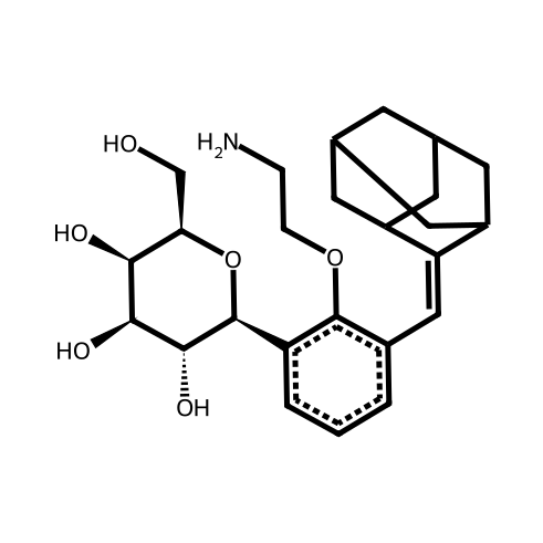 NCCOc1c(C=C2C3CC4CC(C3)CC2C4)cccc1[C@@H]1O[C@H](CO)[C@H](O)[C@H](O)[C@H]1O